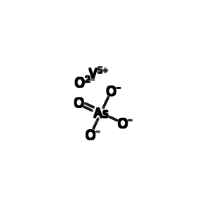 O=[As]([O-])([O-])[O-].[O-2].[V+5]